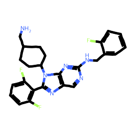 NCC1CCC(n2c(-c3c(F)cccc3F)nc3cnc(NCc4ccccc4F)nc32)CC1